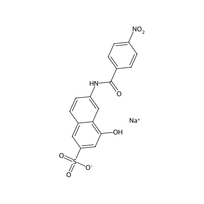 O=C(Nc1ccc2cc(S(=O)(=O)[O-])cc(O)c2c1)c1ccc([N+](=O)[O-])cc1.[Na+]